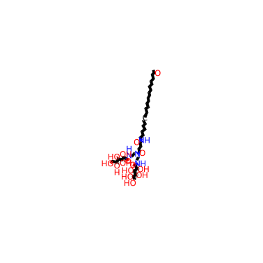 CC(=O)CCCCCCCCCCCCCCCCCCCCCCCNC(=O)CCC(=O)N(CCNC(=O)[C@@H](O)[C@H](O)[C@@H](O)[C@H](O)CO)CCNC(=O)[C@H](O)[C@@H](O)[C@H](O)[C@@H](O)CO